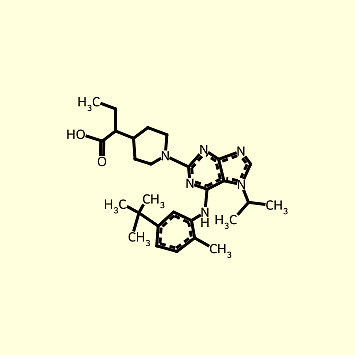 CCC(C(=O)O)C1CCN(c2nc(Nc3cc(C(C)(C)C)ccc3C)c3c(ncn3C(C)C)n2)CC1